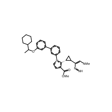 CN/C=C(\N=N)C1C[C@H]1c1c(C(=O)OC)ccn1-c1cccc(-c2cccc(OC(C)C3CCCCC3)c2)c1